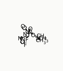 C[Si](C)(C)CCOCn1c(=O)n(C2CCOCC2)c2nc(-c3cnc4ccc(F)cn34)c(F)cc21